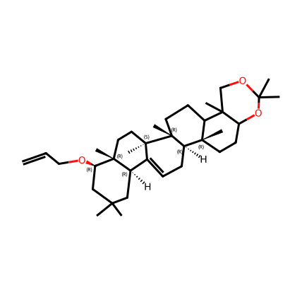 C=CCO[C@@H]1CC(C)(C)C[C@@H]2C3=CC[C@@H]4[C@@]5(C)CCC6OC(C)(C)OCC6(C)C5CC[C@@]4(C)[C@]3(C)CC[C@]21C